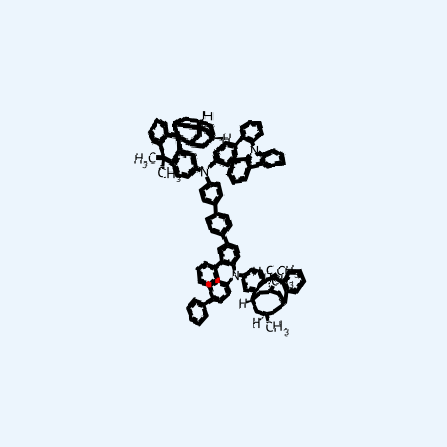 C[C@@H]1CC2C[C@H](C)C[C@H](C1)c1cc(N(c3ccc(-c4ccccc4)cc3)c3ccc(-c4ccc(-c5ccc(N(c6ccc(-c7ccccc7-n7c8ccccc8c8ccccc87)cc6)c6ccc7c(c6)C6(c8ccccc8C7(C)C)C7C[C@H]8CC6C[C@@H](C7)C8)cc5)cc4)cc3-c3ccccc3)ccc1C(C)(C)c1ccccc12